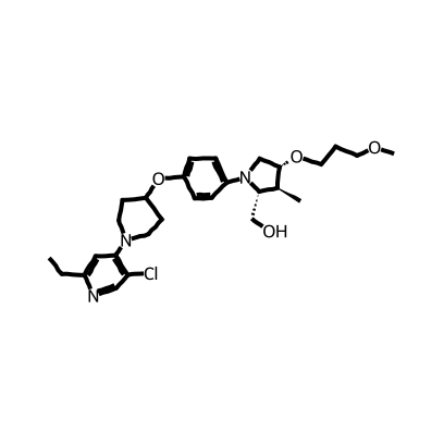 CCc1cc(N2CCC(Oc3ccc(N4C[C@H](OCCCOC)[C@@H](C)[C@@H]4CO)cc3)CC2)c(Cl)cn1